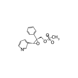 CS(=O)(=O)OC[C@@]1(c2ccccc2)O[C@H]1c1cccnc1